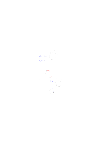 O=C(Nc1ccccc1-n1cccc1)C1CCCN1C(=O)CSc1nnnn1-c1ccccc1